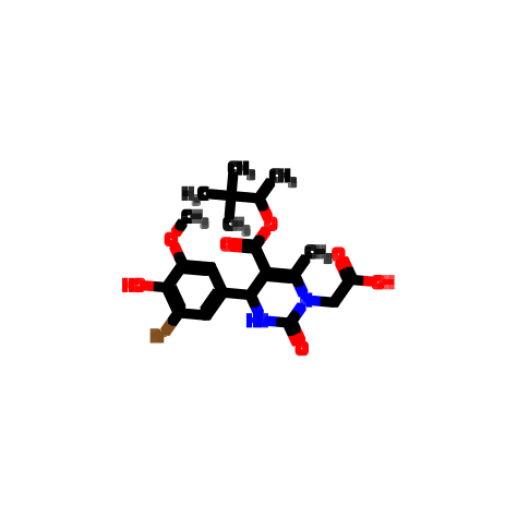 COc1cc(C2NC(=O)N(CC(=O)O)C(C)=C2C(=O)OC(C)C(C)(C)C)cc(Br)c1O